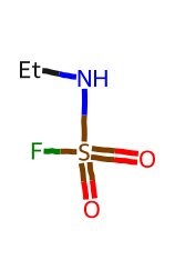 CCNS(=O)(=O)F